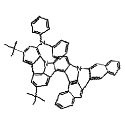 CC(C)(C)c1cc(N(c2ccccc2)c2ccccc2)c2c(c1)c1cc(C(C)(C)C)cc3c4c5c6c7ccccc7cc7c8cc9ccccc9cc8n(c5ccc4n2c13)c76